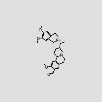 CC[C@H]1CN2CCc3cc(C=O)c(OC)cc3C2C[C@@H]1C[C@H]1NCCc2cc(OC)c(OC)cc21